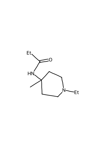 CCC(=O)NC1(C)CCN(CC)CC1